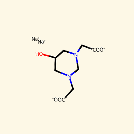 O=C([O-])CN1CC(O)CN(CC(=O)[O-])C1.[Na+].[Na+]